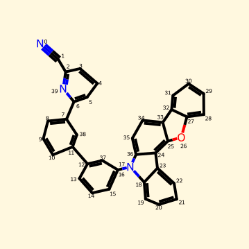 N#Cc1cccc(-c2cccc(-c3cccc(-n4c5ccccc5c5c6oc7ccccc7c6ccc54)c3)c2)n1